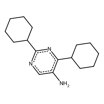 Nc1cnc(C2CCCCC2)nc1C1CCCCC1